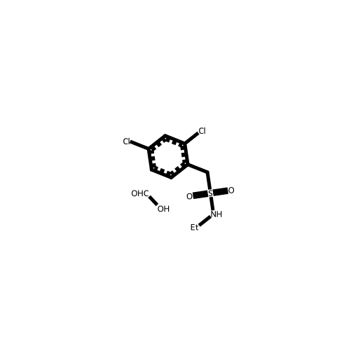 CCNS(=O)(=O)Cc1ccc(Cl)cc1Cl.O=CO